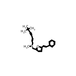 CN(C/C=C/C#CC(C)(C)C)Cc1ccc(C=Cc2ccccc2)o1